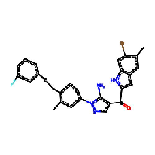 Cc1cc2cc(C(=O)c3cnn(-c4ccc(CCc5cccc(F)c5)c(C)c4)c3N)[nH]c2cc1Br